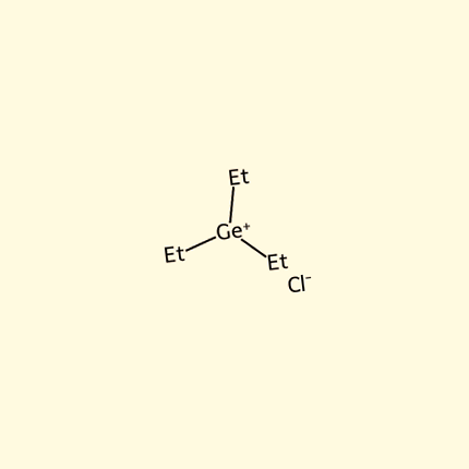 C[CH2][Ge+]([CH2]C)[CH2]C.[Cl-]